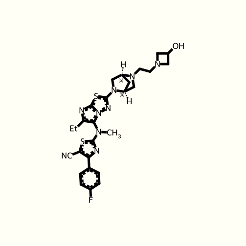 CCc1nc2sc(N3C[C@@H]4C[C@H]3CN4CCN3CC(O)C3)nn2c1N(C)c1nc(-c2ccc(F)cc2)c(C#N)s1